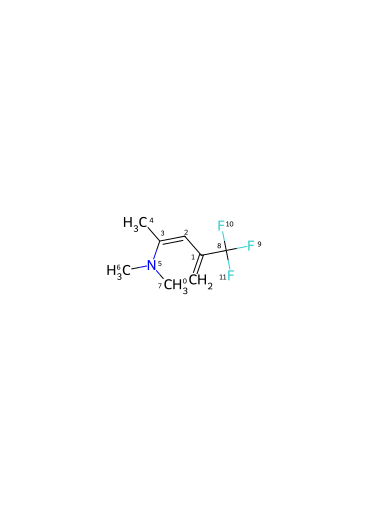 C=C(/C=C(/C)N(C)C)C(F)(F)F